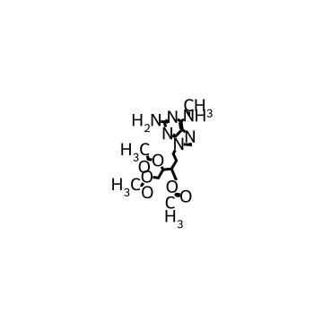 CNc1nc(N)nc2c1ncn2CCC(COC(C)=O)C(COC(C)=O)OC(C)=O